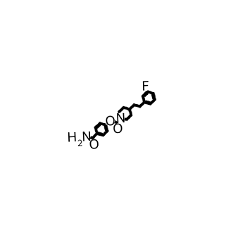 NC(=O)c1ccc(OC(=O)N2CCC(CCc3cccc(F)c3)CC2)cc1